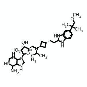 COCC(C)(C)c1ccc2c(c1)NC(CC[C@H]1C[C@H](N(C[C@H]3OC(N4CNC5C(N)NCNC54)[C@H](O)[C@@H]3O)C(C)C)C1)N2